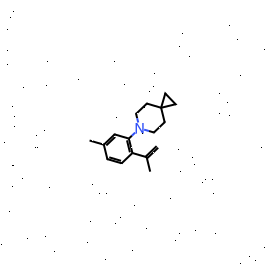 C=C(C)c1ccc(C)cc1N1CCC2(CC1)CC2